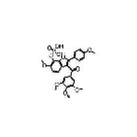 COc1ccc(-c2oc3c(OP(=O)(O)O)c(OC)ccc3c2C(=O)c2cc(OC)c(OC)c(OC)c2)cc1